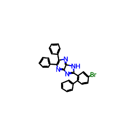 Brc1ccc(-c2ccccc2)c(-c2nc3nc(-c4ccccc4)c(-c4ccccc4)nc3[nH]2)c1